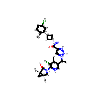 Cc1c(C(C)n2cc(C(=O)N[C@H]3C[C@@H](c4cc(Cl)ccc4C#N)C3)nn2)cnc(N2C[C@H]3C[C@H]3C2=O)c1F